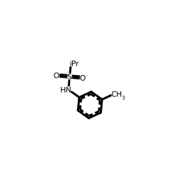 Cc1cccc(NS(=O)(=O)C(C)C)c1